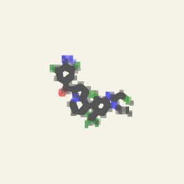 Cn1c(CF)nc2c(Cl)c(-c3cccn4c(C(=O)c5cc(F)c(N)c(F)c5)ccc34)c(C(F)(F)F)cc21